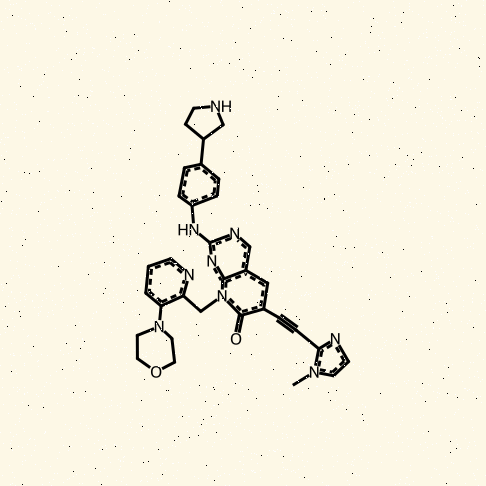 Cn1ccnc1C#Cc1cc2cnc(Nc3ccc(C4CCNC4)cc3)nc2n(Cc2ncccc2N2CCOCC2)c1=O